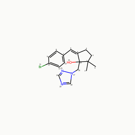 CC1(C)CCC(=Cc2ccc(Br)cc2)C1(O)Cn1cncn1